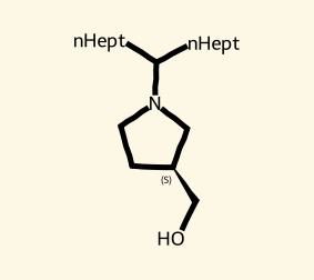 CCCCCCCC(CCCCCCC)N1CC[C@H](CO)C1